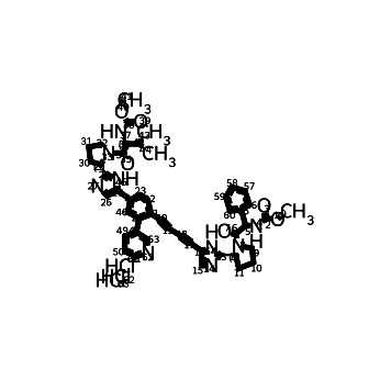 COC(=O)NC(C(=O)N1CCC[C@H]1c1ncc(C#CC#Cc2ccc(-c3cnc([C@@H]4CCCN4C(=O)[C@@H](NC(=O)OC)C(C)C)[nH]3)cc2-c2cccnc2)[nH]1)c1ccccc1.Cl.Cl.Cl